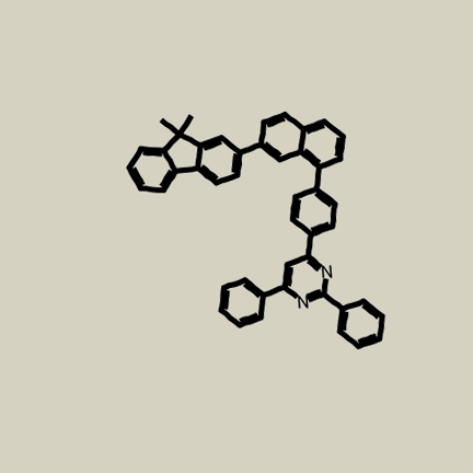 CC1(C)c2ccccc2-c2ccc(-c3ccc4cccc(-c5ccc(-c6cc(-c7ccccc7)nc(-c7ccccc7)n6)cc5)c4c3)cc21